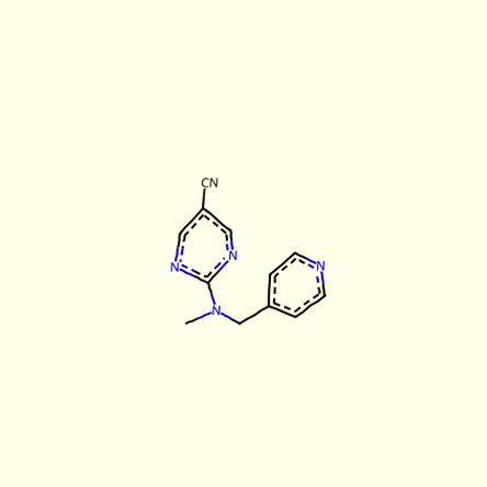 CN(Cc1ccncc1)c1ncc(C#N)cn1